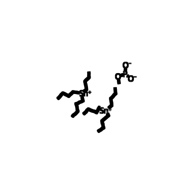 CCC[CH2][Sn+]([CH2]CCC)[CH2]CCC.CCC[CH2][Sn+]([CH2]CCC)[CH2]CCC.COP([O-])[O-]